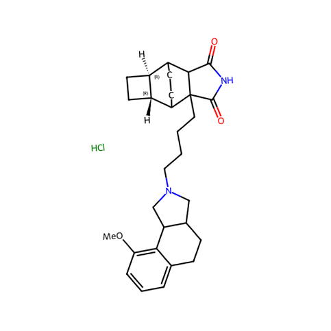 COc1cccc2c1C1CN(CCCCC34C(=O)NC(=O)C3C3CCC4[C@@H]4CC[C@@H]34)CC1CC2.Cl